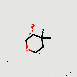 CC1(C)CCOC[C@@H]1O